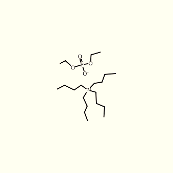 CCCC[P+](CCCC)(CCCC)CCCC.CCOP(=O)([O-])OCC